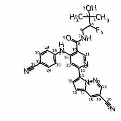 CC(C)(O)C(F)CNC(=O)c1cnc(-c2ccc3cc(C#N)cnn23)cc1Nc1ccc(C#N)cc1